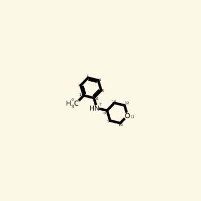 Cc1ccccc1NC1CCOCC1